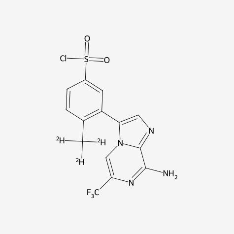 [2H]C([2H])([2H])c1ccc(S(=O)(=O)Cl)cc1-c1cnc2c(N)nc(C(F)(F)F)cn12